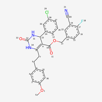 COc1ccc(CCC2=C(C(=O)OCc3ccc(F)c(C#N)c3)C(c3cccc(Cl)c3)NC(=O)N2)cc1